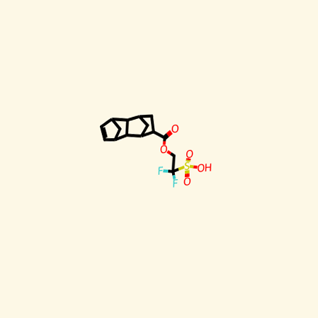 O=C(OCC(F)(F)S(=O)(=O)O)C1CC2CC1C1C3C=CC(C3)C21